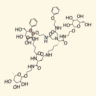 C[C@@H]1O[C@@H](OCCNC(=O)[C@H](CC(=O)NCCCC[C@@H](C(=O)NCCO[C@H]2O[C@H](CO)[C@@H](O)[C@H](O)[C@@H]2O)N(CC(=O)NCCOc2ccccc2)CC(=O)NCCO[C@H]2O[C@H](CO)[C@@H](O)[C@H](O)[C@@H]2O)NC(=O)CCCCC(=O)OCc2ccccc2)[C@@H](O)[C@H](O)[C@@H]1O